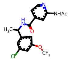 CC(=O)Nc1cc(C(=O)NC(C)c2cc(Cl)cc(OC(F)(F)F)c2)ccn1